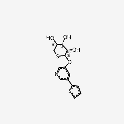 O[C@@H]1[C@@H](O)[C@@H](Oc2cncc(-c3cccs3)c2)SC[C@H]1O